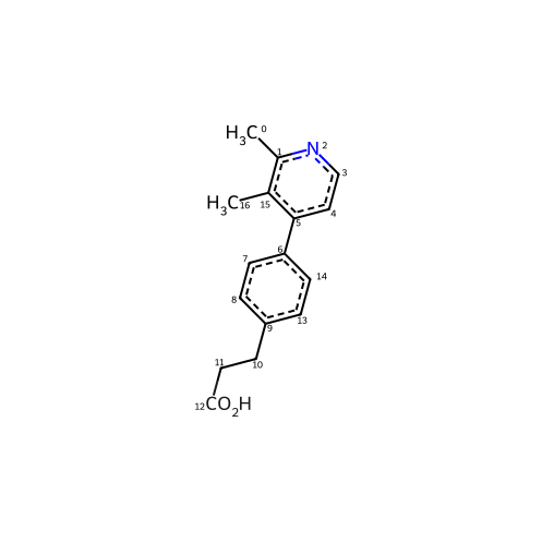 Cc1nccc(-c2ccc(CCC(=O)O)cc2)c1C